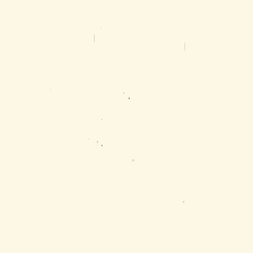 CC(C)N1C(=S)N(C(C)C)C2CCCCCC21